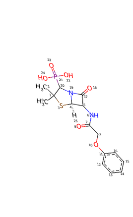 CC1(C)S[C@@H]2C(NC(=O)COc3ccccc3)C(=O)N2C1P(=O)(O)O